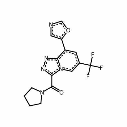 O=C(c1nnc2c(-c3cnco3)cc(C(F)(F)F)cn12)N1CCCC1